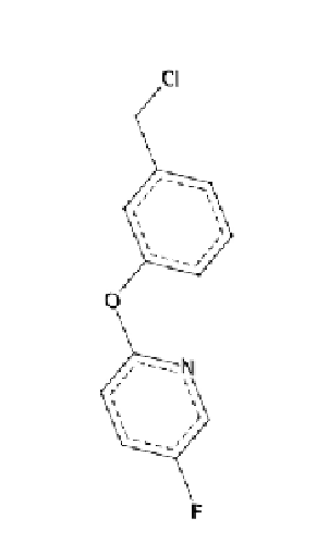 Fc1ccc(Oc2cccc(CCl)c2)nc1